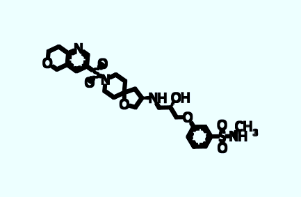 CNS(=O)(=O)c1cccc(OC[C@@H](O)CN[C@H]2COC3(CCN(S(=O)(=O)c4cnc5c(c4)COCC5)CC3)C2)c1